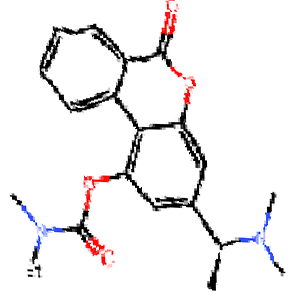 CCN(C)C(=O)Oc1cc([C@H](C)N(C)C)cc2oc(=O)c3ccccc3c12